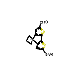 CNc1cc2c(s1)-c1sc(C=O)cc1[Si]21CCC1